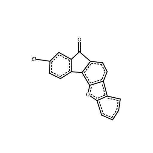 O=C1c2cc(Cl)ccc2-c2c1ccc1c2oc2ccccc21